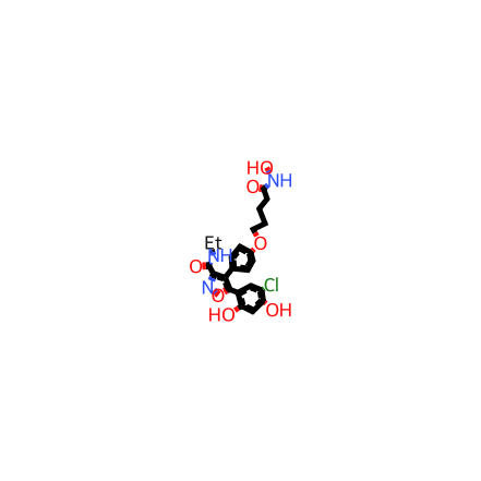 CCNC(=O)c1noc(-c2cc(Cl)c(O)cc2O)c1-c1ccc(OCCCCC(=O)NO)cc1